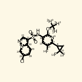 [2H]C([2H])([2H])Oc1nc(C2CC2(F)F)c(F)cc1NS(=O)(=O)c1cnn2cc(Cl)ccc12